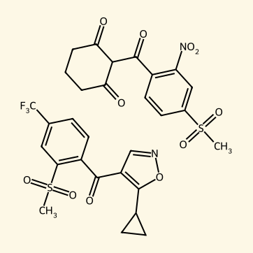 CS(=O)(=O)c1cc(C(F)(F)F)ccc1C(=O)c1cnoc1C1CC1.CS(=O)(=O)c1ccc(C(=O)C2C(=O)CCCC2=O)c([N+](=O)[O-])c1